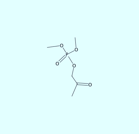 COP(=O)(OC)OCC(C)=O